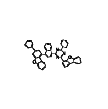 C1=CCC(c2nc(-c3ccc(-c4cc(-c5ccccc5)cc5oc6ccccc6c45)c4ccccc34)nc(-c3cccc4c3oc3ccccc34)n2)C=C1